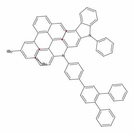 CC(C)(C)c1cc(-c2cccc3cccc(-c4ccccc4N(c4ccc(-c5ccc(-c6ccccc6)c(-c6ccccc6)c5)cc4)c4ccc5c6ccccc6n(-c6ccccc6)c5c4)c23)cc(C(C)(C)C)c1